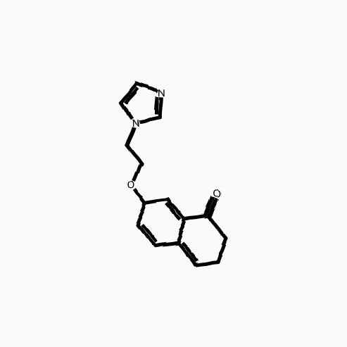 O=C1CCC=C2C=CC(OCCn3ccnc3)C=C12